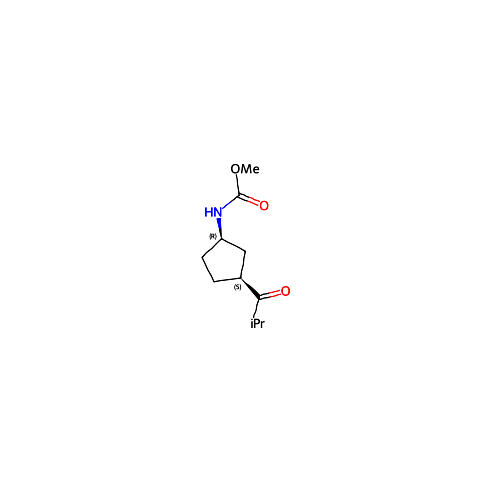 COC(=O)N[C@@H]1CC[C@H](C(=O)C(C)C)C1